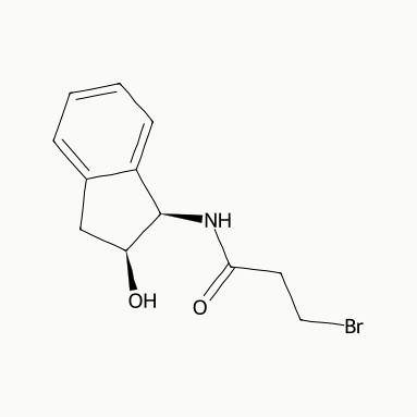 O=C(CCBr)N[C@@H]1c2ccccc2C[C@@H]1O